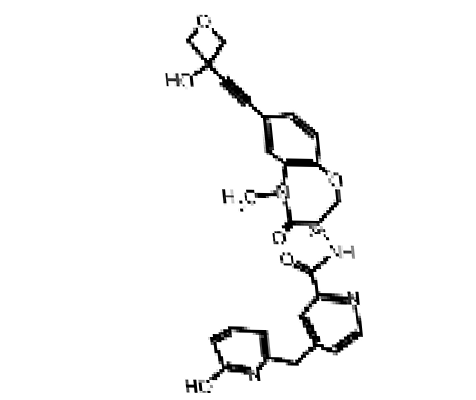 CN1C(=O)[C@@H](NC(=O)c2cc(Cc3cccc(O)n3)ccn2)COc2ccc(C#CC3(O)COC3)cc21